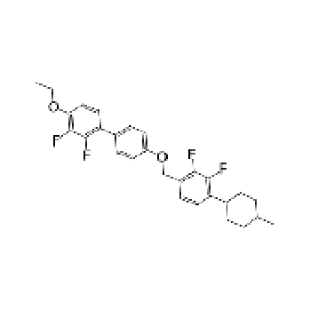 CCOc1ccc(-c2ccc(OCc3ccc(C4CCC(C)CC4)c(F)c3F)cc2)c(F)c1F